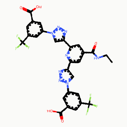 CCNC(=O)c1cc(-c2cn(-c3cc(C(=O)O)cc(C(F)(F)F)c3)nn2)nc(-c2cn(-c3cc(C(=O)O)cc(C(F)(F)F)c3)nn2)c1